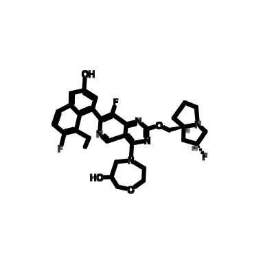 CCc1c(F)ccc2cc(O)cc(-c3ncc4c(N5CCOCC(O)C5)nc(OC[C@@]56CCCN5C[C@H](F)C6)nc4c3F)c12